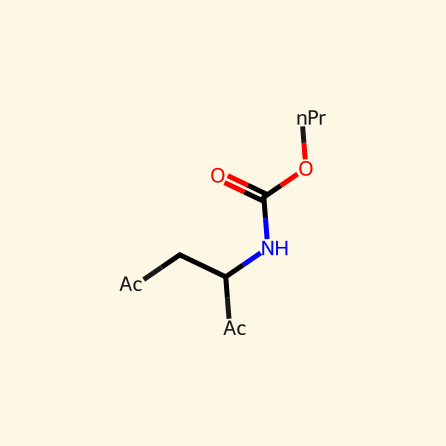 CCCOC(=O)NC(CC(C)=O)C(C)=O